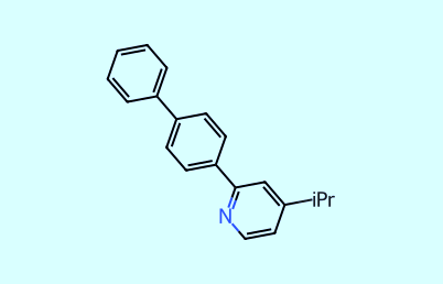 CC(C)c1ccnc(-c2ccc(-c3ccccc3)cc2)c1